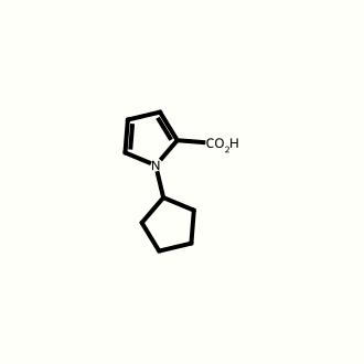 O=C(O)c1cccn1C1CCCC1